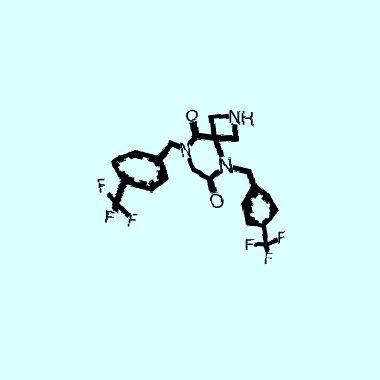 O=C1CN(Cc2ccc(C(F)(F)F)cc2)C(=O)C2(CNC2)N1Cc1ccc(C(F)(F)F)cc1